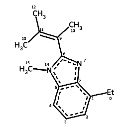 CCc1cccc2c1nc(C(C)=C(C)C)n2C